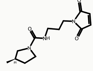 C[C@@H]1CCN(C(=O)NCCCN2C(=O)C=CC2=O)C1